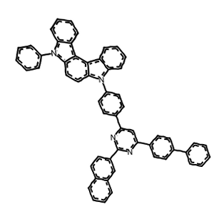 c1ccc(-c2ccc(-c3cc(-c4ccc(-n5c6ccccc6c6c7c8ccccc8n(-c8ccccc8)c7ccc65)cc4)nc(-c4ccc5ccccc5c4)n3)cc2)cc1